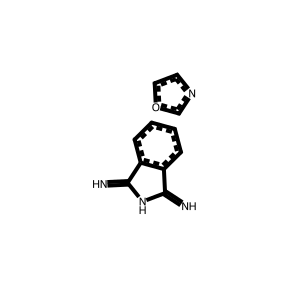 N=C1NC(=N)c2ccccc21.c1cocn1